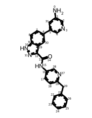 Nc1cncc(-c2ccc3[nH]nc(C(=O)Nc4ccc(Cc5ccccc5)nc4)c3c2)c1